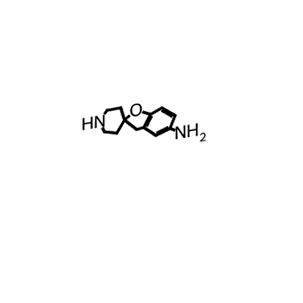 Nc1ccc2c(c1)CC1(CCNCC1)O2